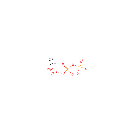 O.O.O.O=P([O-])([O-])OP(=O)([O-])[O-].[Zn+2].[Zn+2]